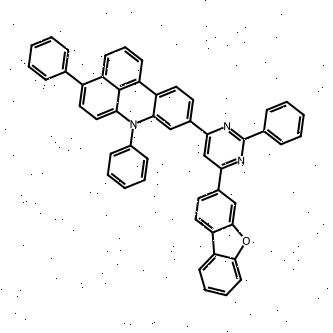 c1ccc(-c2nc(-c3ccc4c(c3)N(c3ccccc3)c3ccc(-c5ccccc5)c5cccc-4c35)cc(-c3ccc4c(c3)oc3ccccc34)n2)cc1